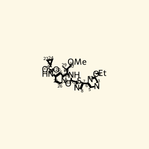 CCOc1cncc(-c2cnc(C(=O)N[C@H](c3cc(NS(=O)(=O)C4CC4)ccn3)[C@@H](C)COC)s2)n1